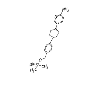 CC(C)(C)[Si](C)(C)OCc1ccc(C2CCN(c3ccc(N)nc3)CC2)cc1